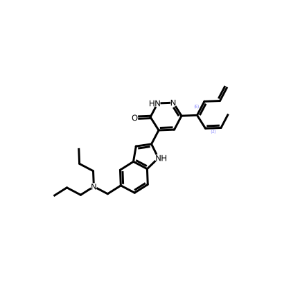 C=C/C=C(\C=C/C)c1cc(-c2cc3cc(CN(CCC)CCC)ccc3[nH]2)c(=O)[nH]n1